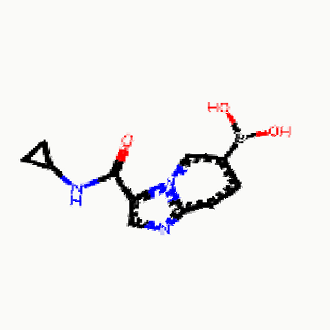 O=C(NC1CC1)c1cnc2ccc(B(O)O)cn12